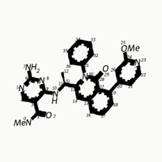 CNC(=O)c1cnc(N)nc1N[C@@H](C)c1cc2cccc(-c3ccnc(OC)c3)c2c(=O)n1-c1ccccc1